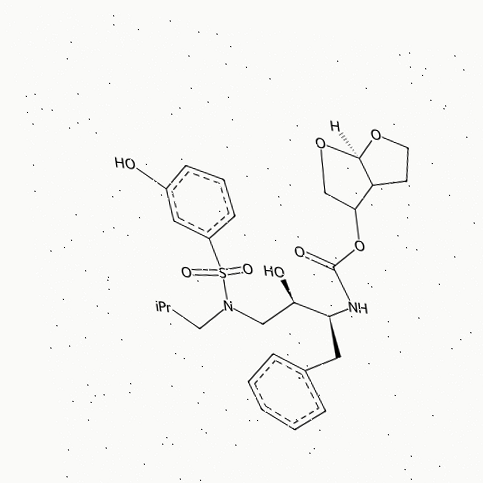 CC(C)CN(C[C@@H](O)[C@H](Cc1ccccc1)NC(=O)OC1CO[C@H]2OCCC12)S(=O)(=O)c1cccc(O)c1